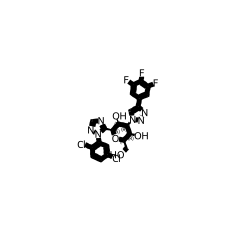 OC[C@H]1O[C@@H](c2ncnn2-c2cc(Cl)ccc2Cl)[C@H](O)[C@@H](n2cc(-c3cc(F)c(F)c(F)c3)nn2)[C@H]1O